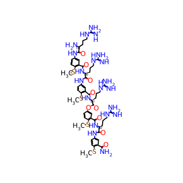 CSc1ccc(NC(=O)[C@H](CCCNC(=N)N)NC(=O)c2cc(OC(=O)[C@H](CCCNC(=N)N)NC(=O)c3cc(NC(=O)[C@H](CCCNC(=N)N)NC(=O)c4cc(NC(=O)[C@@H](N)CCCNC(=N)N)ccc4SC)ccc3SC)ccc2SC)cc1C(N)=O